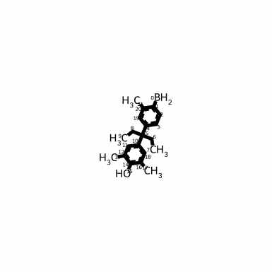 Bc1ccc(C(CC)(CC)c2cc(C)c(O)c(C)c2)cc1C